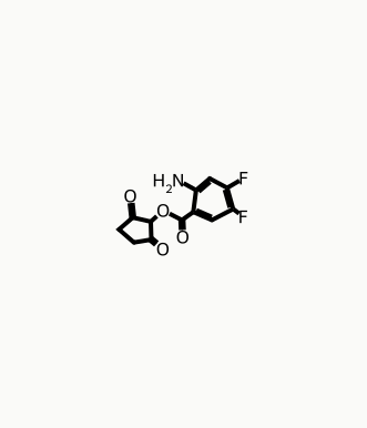 Nc1cc(F)c(F)cc1C(=O)OC1C(=O)CCC1=O